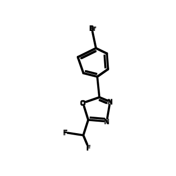 FC(F)c1nnc(-c2ccc(Br)cc2)o1